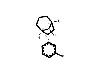 CN1[C@H]2CCC[C@@H]1[C@@H](c1cccc(F)c1)C2